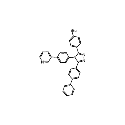 CCC(C)c1ccc(-c2nnc(-c3ccc(-c4ccccc4)cc3)n2-c2ccc(-c3cccnc3)cc2)cc1